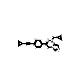 C(#CC1CC1)c1ccc(/C(Cn2ccnc2)=N/OCC2CC2)cc1